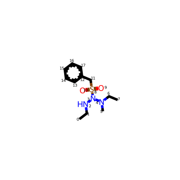 CCNN(N(C)CC)S(=O)(=O)Cc1ccccc1